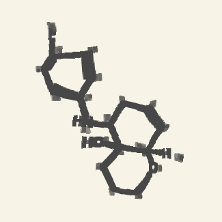 OC12CCCO[C@H]1CCCC2Nc1ccc(F)cc1